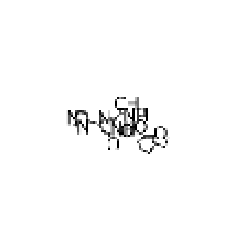 CC(NC(=O)Oc1cccc2c1OCC2)c1nc(-c2ccncn2)cc(=O)[nH]1